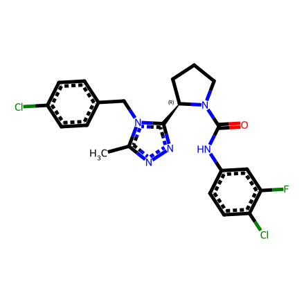 Cc1nnc([C@H]2CCCN2C(=O)Nc2ccc(Cl)c(F)c2)n1Cc1ccc(Cl)cc1